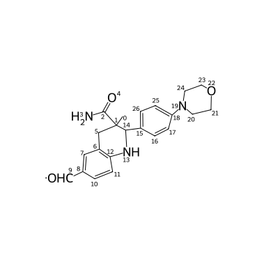 CC1(C(N)=O)Cc2cc([C]=O)ccc2NC1c1ccc(N2CCOCC2)cc1